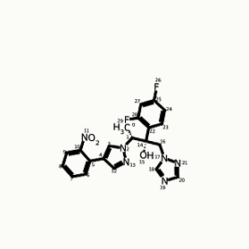 C[C@@H](n1cc(-c2ccccc2[N+](=O)[O-])cn1)[C@](O)(Cn1cncn1)c1ccc(F)cc1F